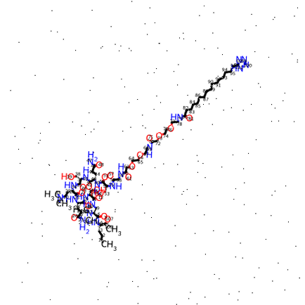 CCCC[C@H](NC(=O)[C@H](CNC(=O)[C@H](CO)NC(=O)[C@H](CCC(N)=O)NC(=O)[C@H](CCN(C)C)NC(=O)[C@H](CO)NC(=O)[C@H](CCC(N)=O)NC(=O)[C@@H](CO)NC(=O)CNC(=O)COCCOCCNC(=O)COCCOCCNC(=O)CCCCCCCCCCCCCCCc1nnn[nH]1)N(C)C)C(C)=O